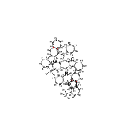 CC(C)(C)c1cccc2c1oc1c(N(c3ccccc3-c3ccccc3)c3c4ccccc4c(N(c4ccccc4-c4ccccc4)c4cccc5c4oc4c(C(C)(C)C)cccc45)c4c3oc3ccccc34)cccc12